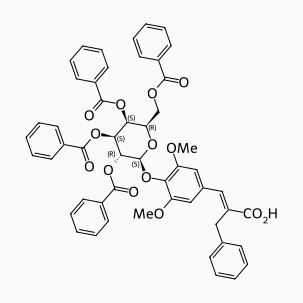 COc1cc(C=C(Cc2ccccc2)C(=O)O)cc(OC)c1O[C@@H]1O[C@H](COC(=O)c2ccccc2)[C@H](OC(=O)c2ccccc2)[C@H](OC(=O)c2ccccc2)[C@H]1OC(=O)c1ccccc1